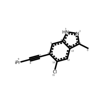 Cc1n[nH]c2cc(C#CC(C)C)c(Cl)cc12